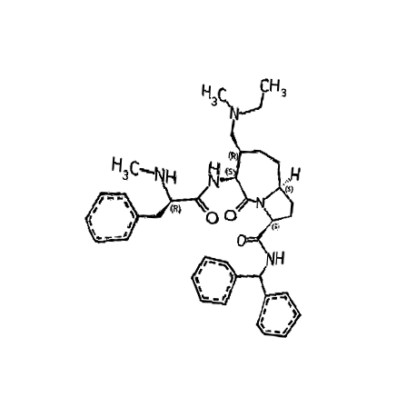 CCN(C)C[C@H]1CC[C@H]2CC[C@@H](C(=O)NC(c3ccccc3)c3ccccc3)N2C(=O)[C@H]1NC(=O)[C@@H](Cc1ccccc1)NC